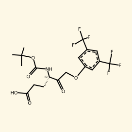 CC(C)(C)OC(=O)N[C@@H](CCC(=O)O)C(=O)COc1cc(C(F)(F)F)cc(C(F)(F)F)c1